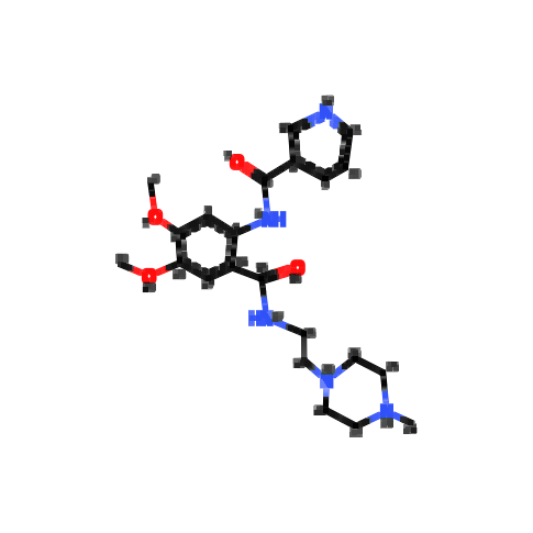 COc1cc(NC(=O)c2cccnc2)c(C(=O)NCCN2CCN(C)CC2)cc1OC